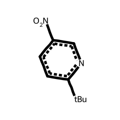 CC(C)(C)c1ccc([N+](=O)[O-])cn1